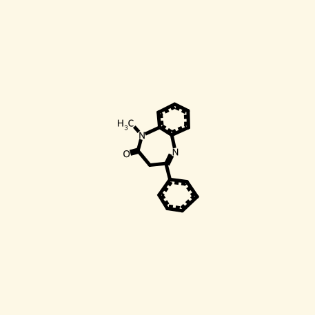 CN1C(=O)CC(c2ccccc2)=Nc2ccccc21